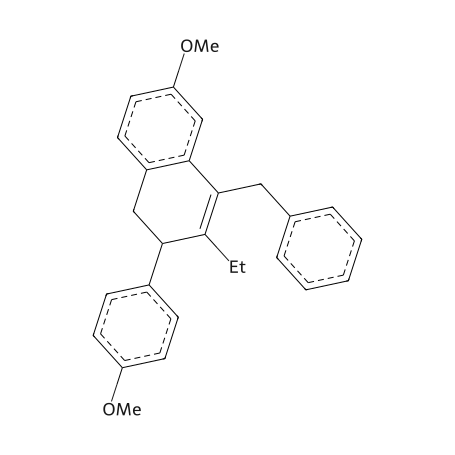 CCC1=C(Cc2ccccc2)c2cc(OC)ccc2CC1c1ccc(OC)cc1